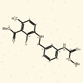 COC(=O)c1c(C)ccc(NCc2cccc(NC(=O)OC(C)(C)C)c2)c1F